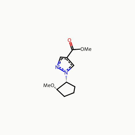 COC(=O)c1cnn([C@@H]2CCC[C@@H]2OC)c1